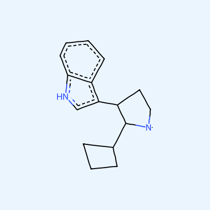 c1ccc2c(C3CC[N]C3C3CCC3)c[nH]c2c1